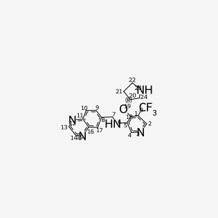 FC(F)(F)c1cncc(NCc2ccc3nccnc3c2)c1O[C@@H]1CCNC1